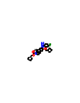 O=C(OCc1ccccc1)N1CC[C@]23CCCC[C@H]2[C@H]1Cc1cc(Nc2ccc(F)cc2)c(OCc2ccccc2)cc13